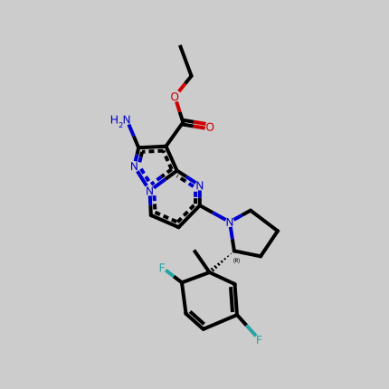 CCOC(=O)c1c(N)nn2ccc(N3CCC[C@@H]3C3(C)C=C(F)C=CC3F)nc12